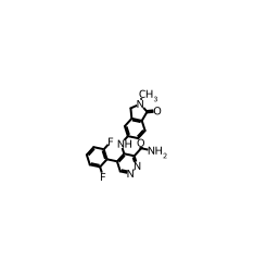 CN1Cc2cc(Nc3c(-c4c(F)cccc4F)cnnc3C(N)=O)ccc2C1=O